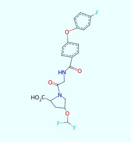 O=C(NCC(=O)N1CC(OC(F)F)CC1C(=O)O)c1ccc(Oc2ccc(F)cc2)cc1